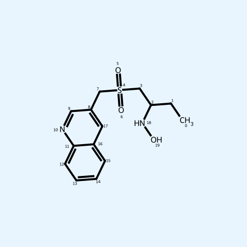 CCC(CS(=O)(=O)Cc1cnc2ccccc2c1)NO